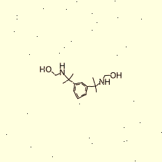 CC(C)(NCO)c1cccc(C(C)(C)NCO)c1